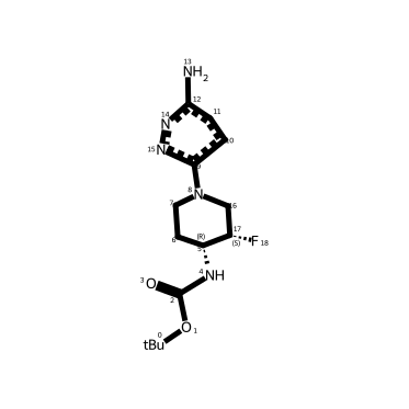 CC(C)(C)OC(=O)N[C@@H]1CCN(c2ccc(N)nn2)C[C@@H]1F